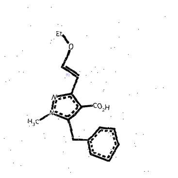 CCO/C=C/c1nn(C)c(Cc2ccccc2)c1C(=O)O